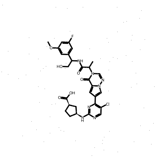 COc1cc(F)cc(C(CO)NC(=O)C(C)n2cnn3cc(-c4nc(N[C@H]5CC[C@@H](C(=O)O)C5)ncc4Cl)cc3c2=O)c1